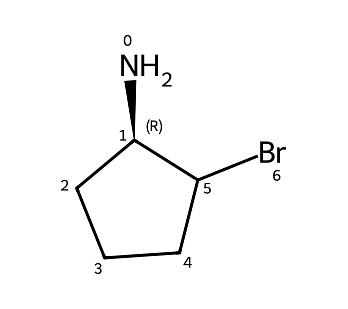 N[C@@H]1CCCC1Br